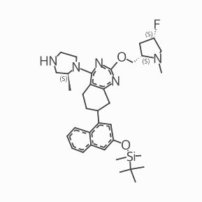 C[C@H]1CNCCN1c1nc(OC[C@@H]2C[C@H](F)CN2C)nc2c1CCC(c1cc(O[Si](C)(C)C(C)(C)C)cc3ccccc13)C2